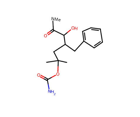 CNC(=O)C(O)C(Cc1ccccc1)CC(C)(C)OC(N)=O